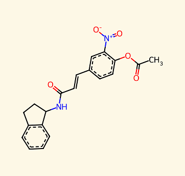 CC(=O)Oc1ccc(/C=C/C(=O)NC2CCc3ccccc32)cc1[N+](=O)[O-]